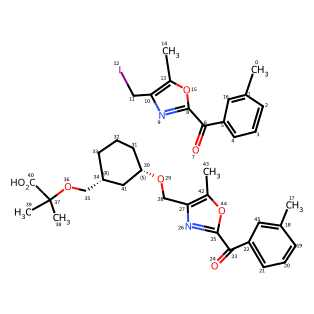 Cc1cccc(C(=O)c2nc(CI)c(C)o2)c1.Cc1cccc(C(=O)c2nc(CO[C@H]3CCC[C@@H](COC(C)(C)C(=O)O)C3)c(C)o2)c1